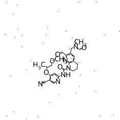 COCC(C)Oc1cc(NC(=O)N2CCCc3cc(CN(C)C=O)c(C=O)nc32)ncc1C#N